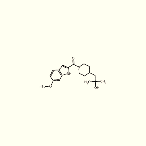 CCCCOc1ccc2cc(C(=O)N3CCC(CC(C)(C)O)CC3)[nH]c2c1